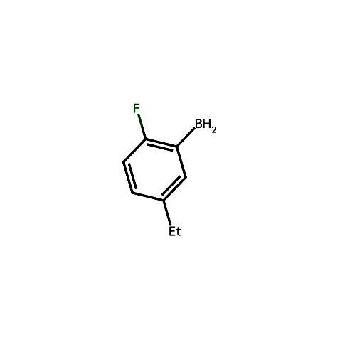 Bc1cc(CC)ccc1F